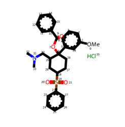 COc1cccc(C2(OC(=O)c3ccccc3)CCC(S(=O)(=O)c3ccccc3)CC2CN(C)C)c1.Cl